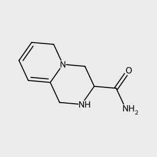 NC(=O)C1CN2CC=CC=C2CN1